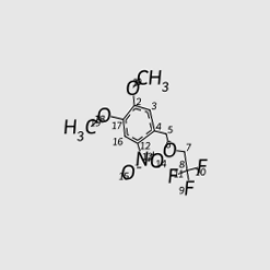 COc1cc(COCC(F)(F)F)c([N+](=O)[O-])cc1OC